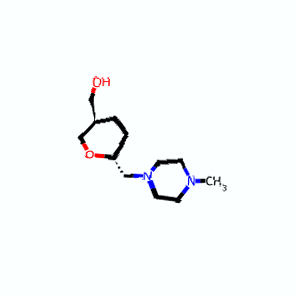 CN1CCN(C[C@H]2CC[C@H](CO)CO2)CC1